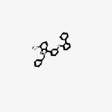 FC(F)(F)c1cccc2c(-c3cccc(Oc4ccccc4-c4ccccc4)c3)n(Cc3ccccc3)nc12